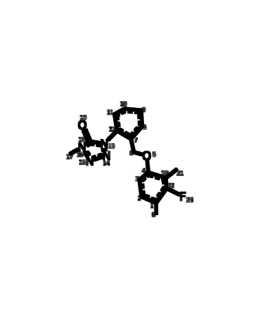 Cc1ccc(OCc2ccccc2-n2nnn(C)c2=O)c(C)c1F